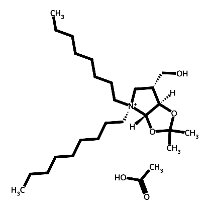 CC(=O)O.CCCCCCCCC[N@+]1(CCCCCCCC)C[C@H](CO)[C@H]2OC(C)(C)O[C@@H]21